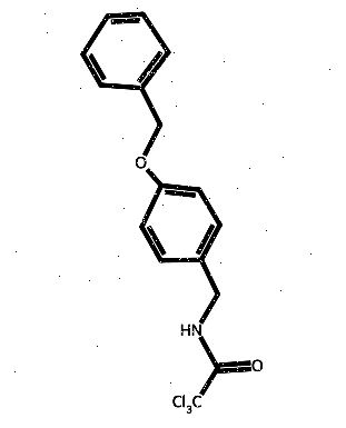 O=C(NCc1ccc(OCc2ccccc2)cc1)C(Cl)(Cl)Cl